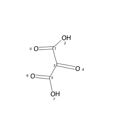 O=C(O)C(=O)C(=O)O